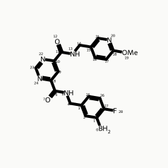 Bc1cc(CNC(=O)c2cc(C(=O)NCc3ccc(OC)nc3)ncn2)ccc1F